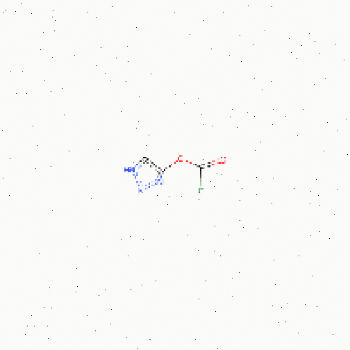 O=C(Cl)Oc1c[nH]nn1